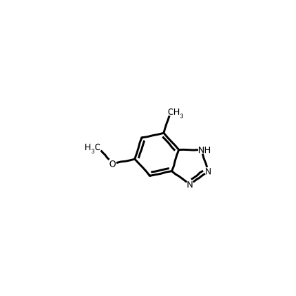 COc1cc(C)c2[nH]nnc2c1